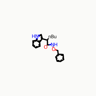 CCCCC(C(=O)NOCc1ccccc1)c1c[nH]c2ccccc12